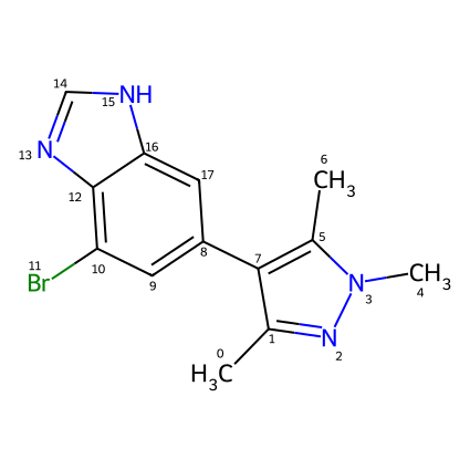 Cc1nn(C)c(C)c1-c1cc(Br)c2nc[nH]c2c1